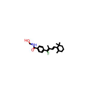 CC1=C(/C=C/C(C)=C(\F)c2ccc(C(=O)NCO)cc2)C(C)(C)CCC1